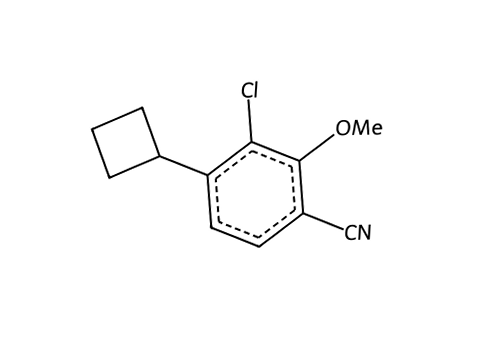 COc1c(C#N)ccc(C2CCC2)c1Cl